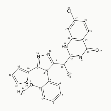 COc1ccccc1-n1c(-c2cccs2)nnc1C(S)c1nc(=O)c2ccc(Cl)cc2[nH]1